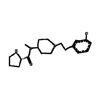 CN(C(=O)[C@@H]1CCCN1)C1CCN(CCc2cccc(Cl)c2)CC1